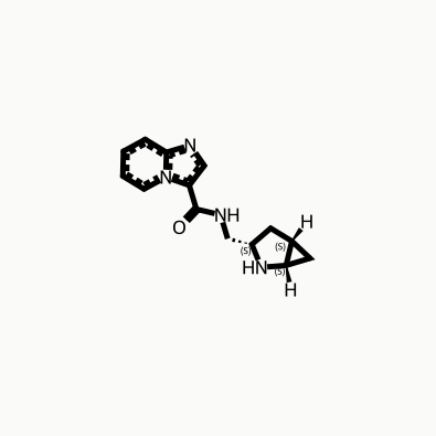 O=C(NC[C@@H]1C[C@@H]2C[C@@H]2N1)c1cnc2ccccn12